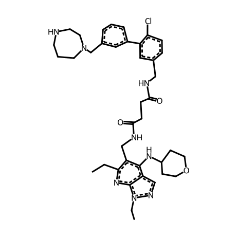 CCc1nc2c(cnn2CC)c(NC2CCOCC2)c1CNC(=O)CCC(=O)NCc1ccc(Cl)c(-c2cccc(CN3CCCNCC3)c2)c1